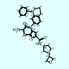 Nc1nc2sc(C(=O)N[C@@H]3CCN(C4COC4)C3)cc2n(-c2ccc3c(c2)N(c2ccccc2)CCC3)c1=O